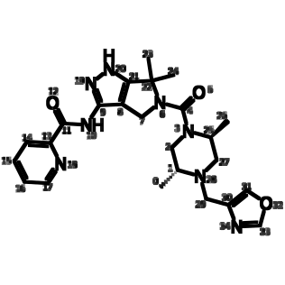 C[C@@H]1CN(C(=O)N2Cc3c(NC(=O)c4ccccn4)n[nH]c3C2(C)C)[C@@H](C)CN1Cc1cocn1